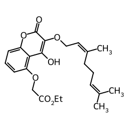 CCOC(=O)COc1cccc2oc(=O)c(OCC=C(C)CCC=C(C)C)c(O)c12